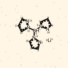 [Li+].c1cnn([BH-](n2cccn2)n2cccn2)c1